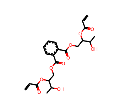 C=CC(=O)OC(COC(=O)c1ccccc1C(=O)OCC(OC(=O)C=C)C(C)O)C(C)O